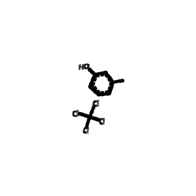 Cc1cccc(O)c1.ClC(Cl)(Cl)Cl